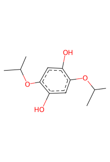 CC(C)Oc1cc(O)c(OC(C)C)cc1O